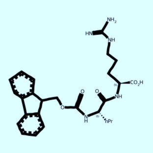 CCC[C@H](NC(=O)OCC1c2ccccc2-c2ccccc21)C(=O)N[C@@H](CCCNC(=N)N)C(=O)O